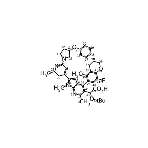 Cc1nc2c(cc(C3=CC(N4CCC(Oc5ccccc5)C4)=NC(C)C3)n2C)c(-c2cc(F)c3c(c2C)CCCO3)c1[C@H](OC(C)(C)C)C(=O)O